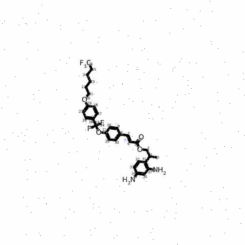 [CH2]C(COC(=O)/C=C/c1ccc(OC(F)(F)c2ccc(OCCCCCC(F)(F)F)cc2)cc1)c1ccc(N)cc1N